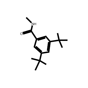 CNC(=O)c1cc(C(C)(C)C)cc(C(C)(C)C)c1